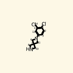 Clc1ccc(N2CC3(CNC3)C2)cc1Cl